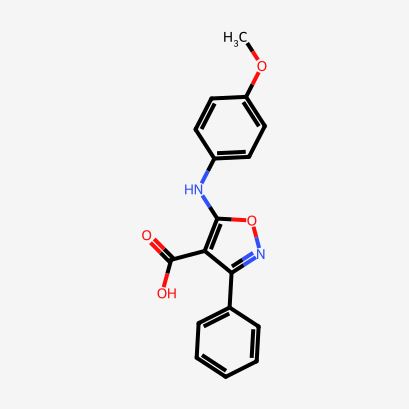 COc1ccc(Nc2onc(-c3ccccc3)c2C(=O)O)cc1